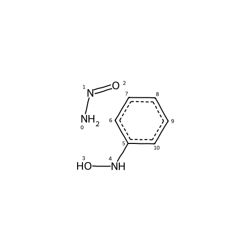 NN=O.ONc1ccccc1